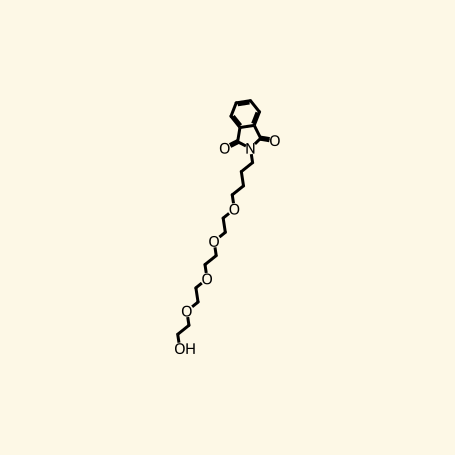 O=C1c2ccccc2C(=O)N1CCCCOCCOCCOCCOCCO